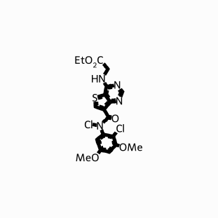 CCOC(=O)CNc1ncnc2c(C(=O)N(Cl)c3cc(OC)cc(OC)c3Cl)csc12